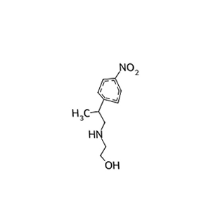 CC(CNCCO)c1ccc([N+](=O)[O-])cc1